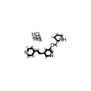 C(=Cc1cncc(OC[C@H]2CCCN2)c1)c1ccncc1.Cl.Cl.Cl